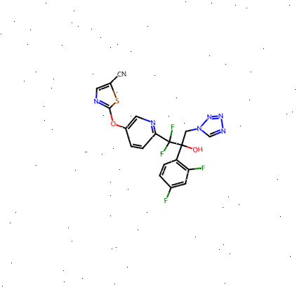 N#Cc1cnc(Oc2ccc(C(F)(F)C(O)(Cn3cnnn3)c3ccc(F)cc3F)nc2)s1